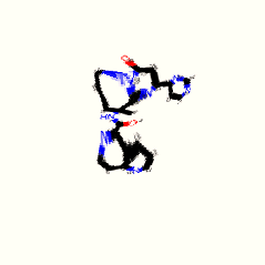 CC1(NC(=O)c2nccc3ncccc23)CCCn2c1nc(-c1ccncn1)cc2=O